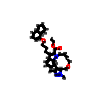 CCOC(=O)c1c(CCCOc2cccc3ccccc23)c2cccc3c2n1CCCCOCc1c-3c(C)nn1C